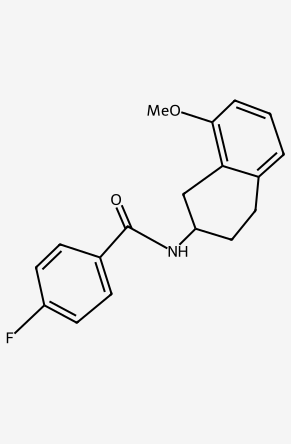 COc1cccc2c1CC(NC(=O)c1ccc(F)cc1)CC2